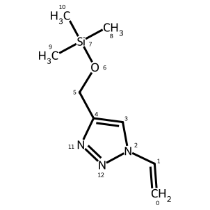 C=Cn1cc(CO[Si](C)(C)C)nn1